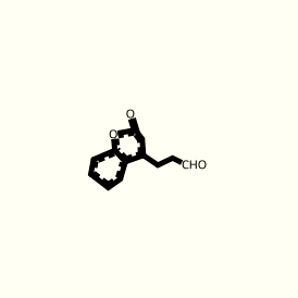 O=CCCc1cc(=O)oc2ccccc12